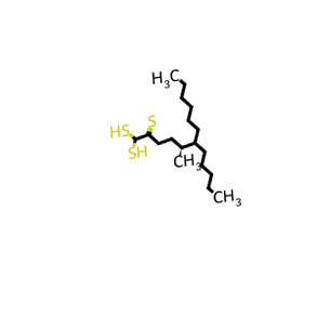 CCCCCCC(CCCCC)[C@H](C)CCC(=S)C(S)S